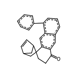 O=C1CCC2(CC3C=CC2C3)c2cc3c(-c4ccccc4)cccc3cc21